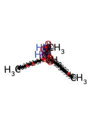 [CH2]C(COC(=O)CCCCCCCCCCCCCCCCC)(C[C@H]1CNC[C@H](n2cc(C)c(=O)[nH]c2=O)O1)OC(=O)CCCCCCCCCCCCCCCCC